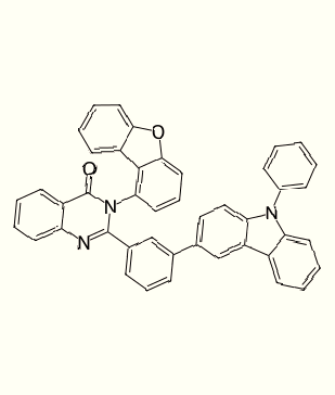 O=c1c2ccccc2nc(-c2cccc(-c3ccc4c(c3)c3ccccc3n4-c3ccccc3)c2)n1-c1cccc2oc3ccccc3c12